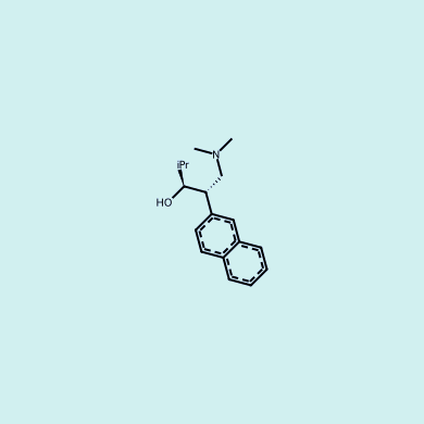 CC(C)[C@H](O)[C@H](CN(C)C)c1ccc2ccccc2c1